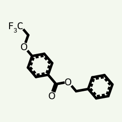 O=C(OCc1ccccc1)c1ccc(OCC(F)(F)F)cc1